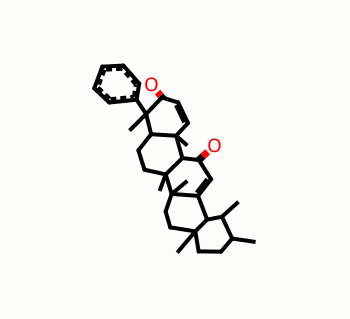 CC1CCC2(C)CCC3(C)C(=CC(=O)C4C5(C)C=CC(=O)C(C)(c6ccccc6)C5CCC43C)C2C1C